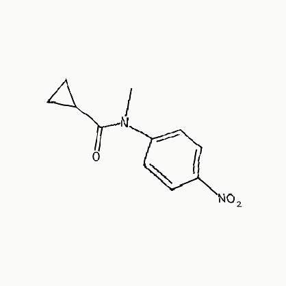 CN(C(=O)C1CC1)c1ccc([N+](=O)[O-])cc1